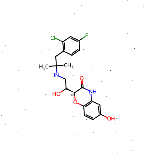 CC(C)(Cc1ccc(F)cc1Cl)NCC(O)[C@@H]1Oc2ccc(O)cc2NC1=O